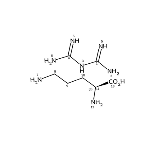 N=C(N)NC(=N)N.NCCC[C@H](N)C(=O)O